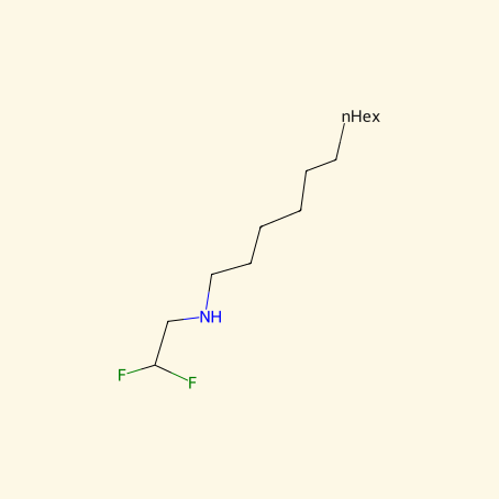 CCCCCCCCCCCCNCC(F)F